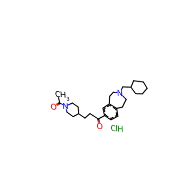 CC(=O)N1CCC(CCC(=O)c2ccc3c(c2)CCN(CC2CCCCC2)CC3)CC1.Cl